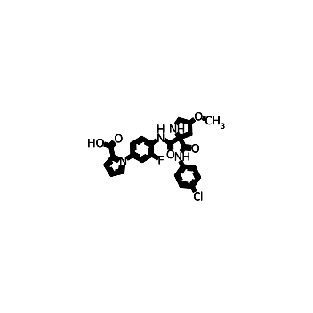 COC1CNC(C(=O)Nc2ccc(Cl)cc2)(C(=O)Nc2ccc(-n3cccc3C(=O)O)cc2F)C1